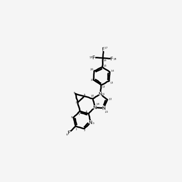 Fc1cnc2c(c1)C1CC1C1N(c3ccc(C(F)(F)F)cc3)C=NN21